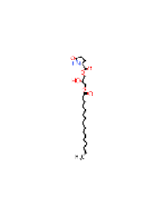 CCCCCCCCCCCCCCCC(=O)OCC(O)COC(=O)[C@@H]1CCC(=O)N1